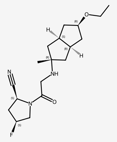 CCO[C@@H]1C[C@@H]2C[C@@](C)(NCC(=O)N3C[C@@H](F)C[C@H]3C#N)C[C@@H]2C1